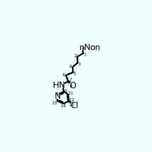 CCCCCCCCCCCCCCCC(=O)Nc1cc(Cl)ccn1